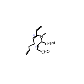 C=CCC/C=C(/C=C)N(C)C(/C=C\C=O)CCCCC